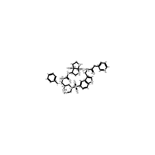 CC(C)CN(C[C@@H](O)[C@H](Cc1ccccc1)NC(=O)OC1CO[C@H]2OCC[C@@H]12)S(=O)(=O)c1ccc2occ(CNC(=O)Cc3cccnc3)c2c1